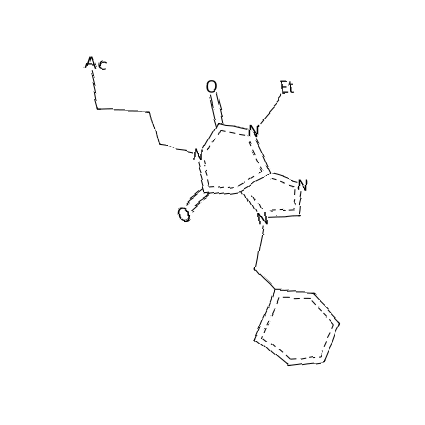 CCn1c(=O)n(CCCC(C)=O)c(=O)c2c1ncn2Cc1ccccc1